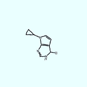 ClC1NC=Nc2c1ccn2C1CC1